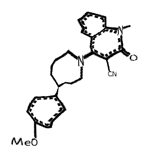 COc1ccc([C@H]2CCCN(c3c(C#N)c(=O)n(C)c4ccccc34)CC2)cc1